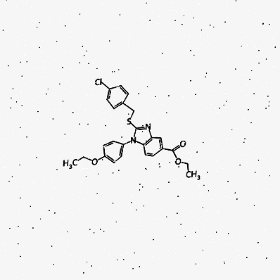 CCOC(=O)c1ccc2c(c1)nc(SCc1ccc(Cl)cc1)n2-c1ccc(OCC)cc1